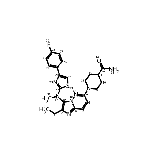 CCc1nc2ccc(N3CCC(C(N)=O)CC3)nn2c1N(C)c1nc(-c2ccc(F)cc2)cs1